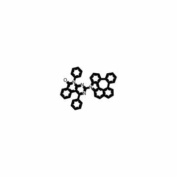 O=c1c2ccccc2c2c(-c3ccccc3)nc(-n3c4cccc5c4c4c6c(cccc6ccc43)-c3ccccc3-5)nc2n1-c1ccccc1